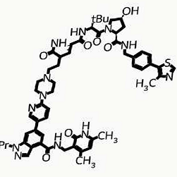 Cc1cc(C)c(CNC(=O)c2cc(-c3ccc(N4CCN(CCC(CCC(=O)N[C@H](C(=O)N5C[C@H](O)C[C@H]5C(=O)NCc5ccc(-c6scnc6C)cc5)C(C)(C)C)C(N)=O)CC4)nc3)cc3c2cnn3C(C)C)c(=O)[nH]1